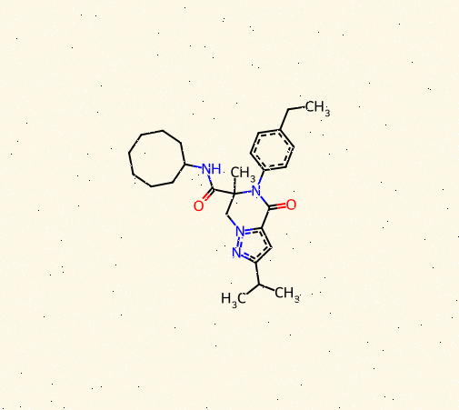 CCc1ccc(N2C(=O)c3cc(C(C)C)nn3CC2(C)C(=O)NC2CCCCCCC2)cc1